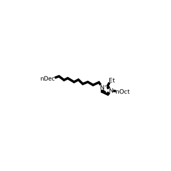 CCCCCCCCCCCCCCCCCCC[n+]1ccn(CCCCCCCC)c1CC